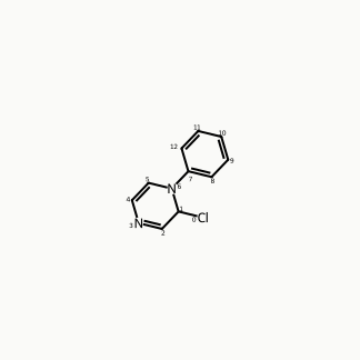 ClC1C=NC=CN1c1ccccc1